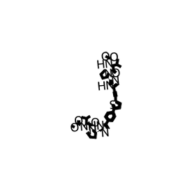 COC(=O)N[C@H](C(=O)N1CCC[C@H]1c1ncc(C#Cc2ccc(-c3ccc(-c4cnc([C@@H]5CCCN5C(=O)[C@@H](NC(=O)OC)C(C)C)[nH]4)cc3)s2)[nH]1)C(C)C